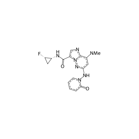 CNc1cc(Nn2ccccc2=O)nn2c(C(=O)N[C@@H]3C[C@@H]3F)cnc12